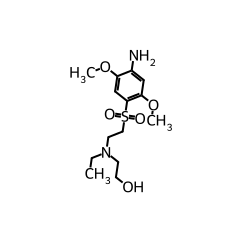 CCN(CCO)CCS(=O)(=O)c1cc(OC)c(N)cc1OC